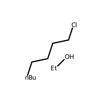 CCCCCCCCCl.CCO